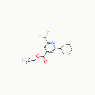 CCOC(=O)c1cc(C(F)F)nc(C2CCCCC2)c1